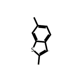 Cc1ccc2[c]c(C)sc2c1